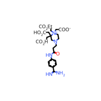 CCOC(=O)C[N+]1(CC(=O)[O-])CCN(CCC(=O)Nc2ccc(C(=N)N)cc2)CC1(CC(=O)O)CC(=O)O